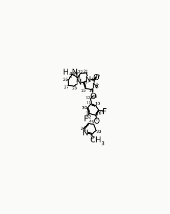 CC1=NC=CC(Oc2c(F)cc(COc3cc4n(c(=O)n3)CC[C@]3(N)CCCCN43)cc2F)C1